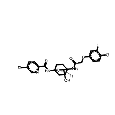 O=C(COc1ccc(Cl)c(F)c1)NC12CCC(NC(=O)c3ccc(Cl)cn3)(CC1)C[C@@H]2O